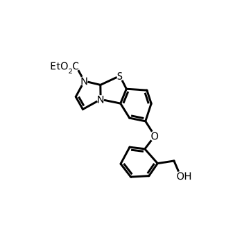 CCOC(=O)N1C=CN2c3cc(Oc4ccccc4CO)ccc3SC12